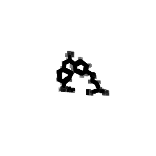 CCC(Cc1ccc(OC)cc1)c1ccc(OCCN(CC)CC)cc1